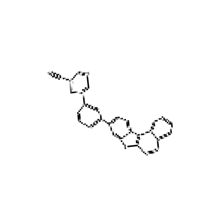 N#Cc1cncc(-c2cccc(-c3ccc4c(c3)sc3ccc5ccccc5c34)n2)c1